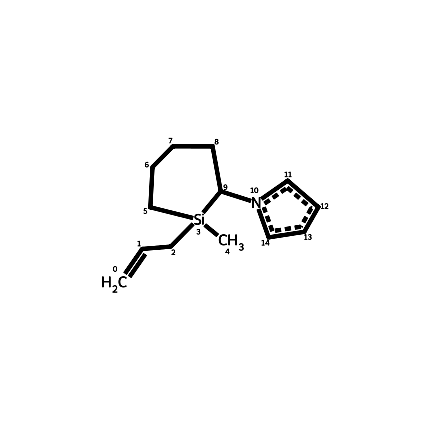 C=CC[Si]1(C)CCCCC1n1cccc1